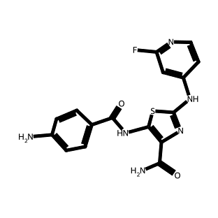 NC(=O)c1nc(Nc2ccnc(F)c2)sc1NC(=O)c1ccc(N)cc1